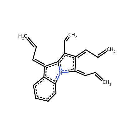 C=C/C=c1/c(C=C)c2/c(=C\C=C)c3ccccc3n2/c1=C/C=C